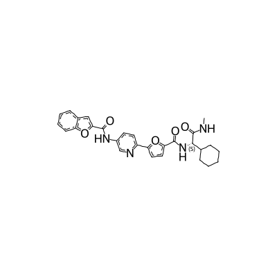 CNC(=O)[C@@H](NC(=O)c1ccc(-c2ccc(NC(=O)c3cc4ccccc4o3)cn2)o1)C1CCCCC1